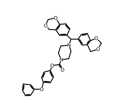 O=C(Oc1ccc(Oc2ccccc2)cc1)N1CCN(C(c2ccc3c(c2)COCO3)c2ccc3c(c2)COCO3)CC1